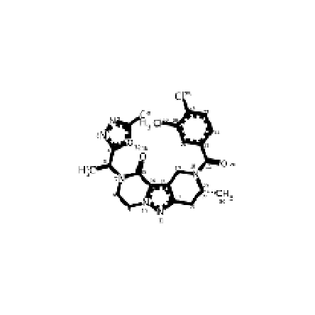 Cc1nnc(C(C)N2CCn3nc4c(c3C2=O)CN(C(=O)c2ccc(Cl)c(Cl)c2)[C@H](C)C4)o1